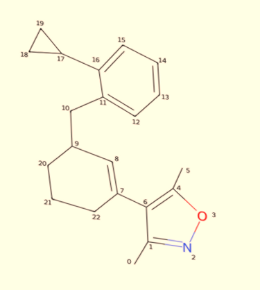 Cc1noc(C)c1C1=CC(Cc2ccccc2C2CC2)CCC1